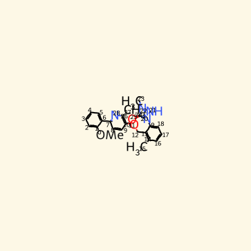 COc1ccccc1-c1ccc(OCc2c(C)cccc2-n2[nH]n(C)c2=O)c(C)n1